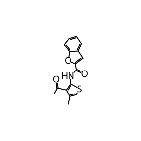 CC(=O)c1c(C)csc1NC(=O)c1cc2ccccc2o1